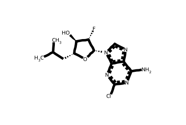 CC(C)C[C@H]1O[C@@H](n2cnc3c(N)nc(Cl)nc32)[C@@H](F)[C@@H]1O